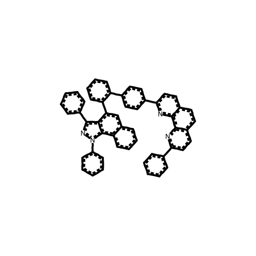 c1ccc(-c2ccc3ccc4ccc(-c5ccc(-c6ccccc6-c6cc7ccccc7c7c6c(-c6ccccc6)nn7-c6ccccc6)cc5)nc4c3n2)cc1